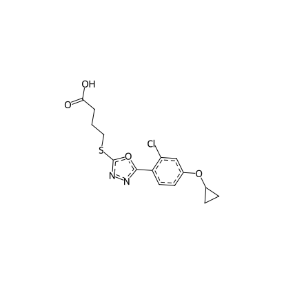 O=C(O)CCCSc1nnc(-c2ccc(OC3CC3)cc2Cl)o1